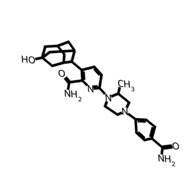 CC1CN(c2ccc(C(N)=O)cc2)CCN1c1ccc(C2C3CC4CC2CC(O)(C4)C3)c(C(N)=O)n1